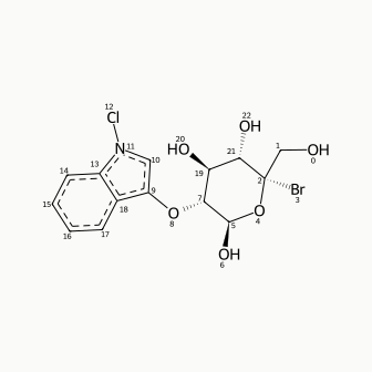 OC[C@@]1(Br)O[C@@H](O)[C@H](Oc2cn(Cl)c3ccccc23)[C@@H](O)[C@@H]1O